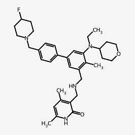 CCN(c1cc(-c2ccc(CN3CCC(F)CC3)cc2)cc(CNCc2c(C)cc(C)[nH]c2=O)c1C)C1CCOCC1